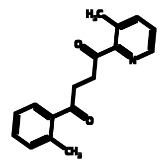 Cc1ccccc1C(=O)CCC(=O)c1ncccc1C